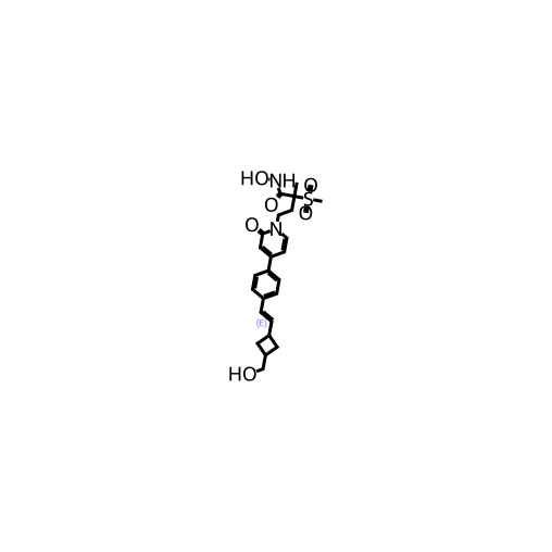 CC(CCn1ccc(-c2ccc(/C=C/C3CC(CO)C3)cc2)cc1=O)(C(=O)NO)S(C)(=O)=O